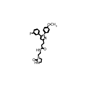 COc1ccc(-n2nc(CCC(=O)NCCN3CCNC3=O)cc2-c2cccc(F)c2)cc1